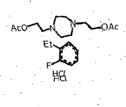 CC(=O)OCCN1CCN(CCOC(C)=O)CC1.CCc1ccccc1F.Cl.Cl